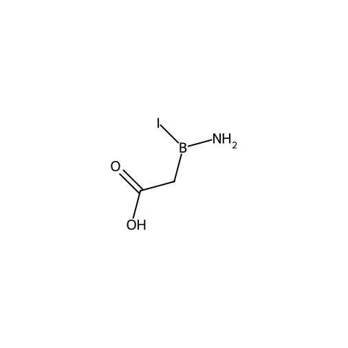 NB(I)CC(=O)O